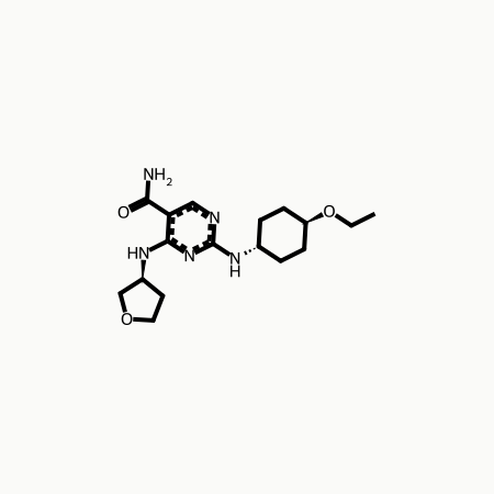 CCO[C@H]1CC[C@H](Nc2ncc(C(N)=O)c(N[C@H]3CCOC3)n2)CC1